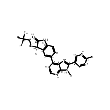 Cc1ncc(-c2nc3c(-c4ccc5c(c4)[C@@](C)(NCC(C)(F)F)C(=O)N5)ncnc3n2C)cn1